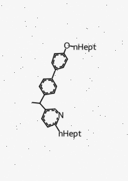 CCCCCCCOc1ccc(-c2ccc(C(C)c3ccc(CCCCCCC)nc3)cc2)cc1